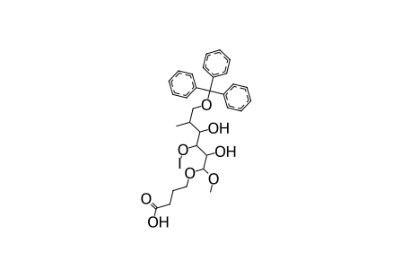 COC(OCCCC(=O)O)C(O)C(OI)C(O)C(C)COC(c1ccccc1)(c1ccccc1)c1ccccc1